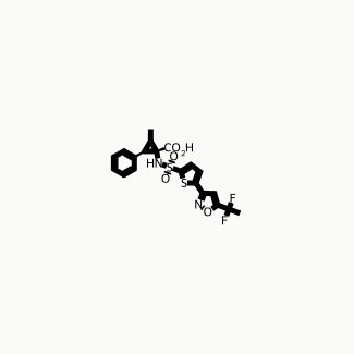 CC1[C@H](c2ccccc2)[C@]1(NS(=O)(=O)c1ccc(-c2cc(C(C)(F)F)on2)s1)C(=O)O